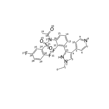 CCn1cc(-c2ccncc2)c(-c2cccc(N(C(C)=O)S(=O)(=O)c3cc(F)ccc3F)c2F)n1